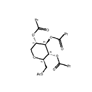 CC(=O)OC[C@H]1OC[C@H](OC(=O)C(C)C)[C@@H](OC(=O)C(C)C)[C@@H]1OC(=O)C(C)C